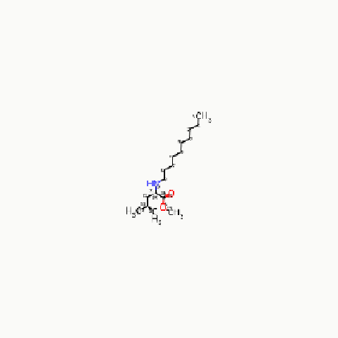 CCCCCCCCCCN[C@H](CC(C)C)C(=O)OC